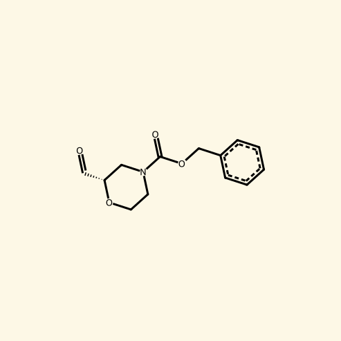 O=C[C@@H]1CN(C(=O)OCc2ccccc2)CCO1